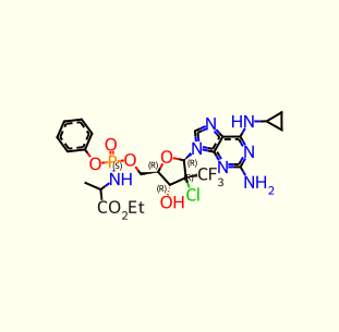 CCOC(=O)C(C)N[P@](=O)(OC[C@H]1O[C@@H](n2cnc3c(NC4CC4)nc(N)nc32)[C@@](Cl)(C(F)(F)F)[C@@H]1O)Oc1ccccc1